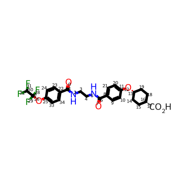 O=C(NCCNC(=O)c1ccc(O[C@H]2CC[C@@H](C(=O)O)CC2)cc1)c1ccc(OC(F)(F)C(F)F)cc1